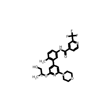 Cc1ccc(NC(=O)c2ccnc(C(F)(F)F)c2)cc1-c1cc(O[C@@H](C)CO)nc(N2CCOCC2)c1